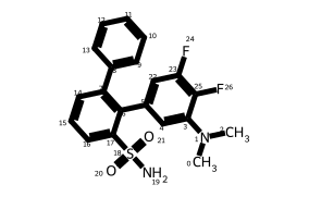 CN(C)c1cc(-c2c(-c3ccccc3)cccc2S(N)(=O)=O)cc(F)c1F